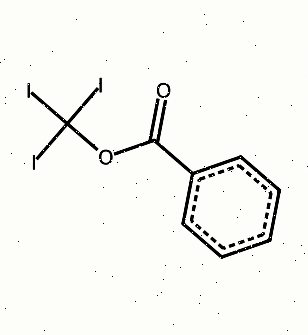 O=C(OC(I)(I)I)c1ccccc1